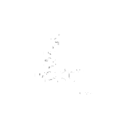 COCCCOc1cc(C[C@@H](C[C@H](N)[C@@H](O)C[C@H](C(=O)NCC2CCC(=O)N2)C(C)C)C(C)C)ccc1OC.Cl